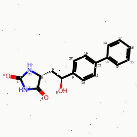 O=C1NC(=O)[C@@H](C[C@H](O)c2ccc(-c3ccccc3)cc2)N1